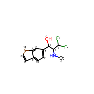 CCNC(C(F)F)C(O)c1ccc2ccsc2c1